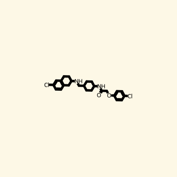 O=C(COc1ccc(Cl)cc1)NC1CCC(CNC2CCc3cc(Cl)ccc3C2)CC1